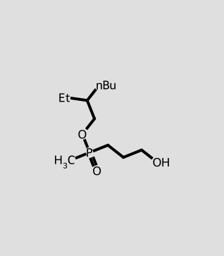 CCCCC(CC)COP(C)(=O)CCCO